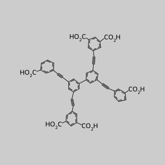 O=C(O)c1cccc(C#Cc2cc(C#Cc3cc(C(=O)O)cc(C(=O)O)c3)cc(-c3cc(C#Cc4cccc(C(=O)O)c4)cc(C#Cc4cc(C(=O)O)cc(C(=O)O)c4)c3)c2)c1